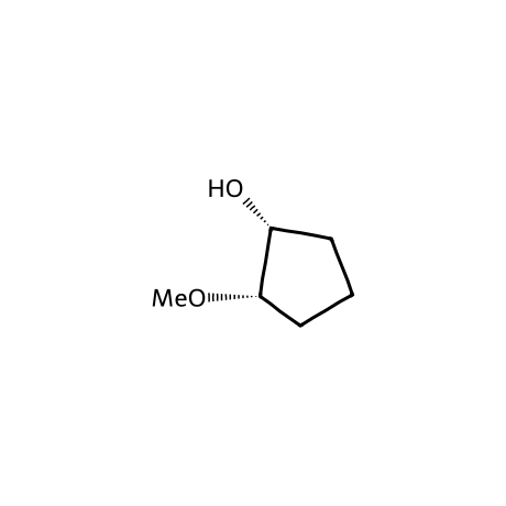 CO[C@H]1CCC[C@H]1O